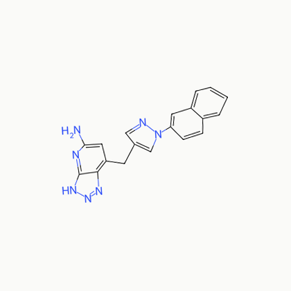 Nc1cc(Cc2cnn(-c3ccc4ccccc4c3)c2)c2nn[nH]c2n1